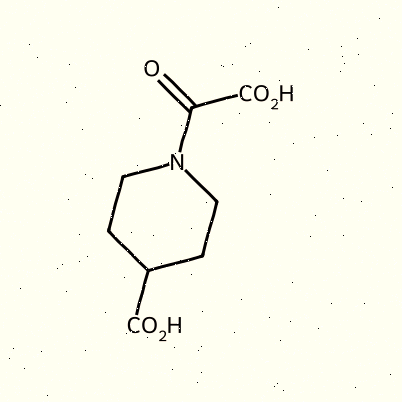 O=C(O)C(=O)N1CCC(C(=O)O)CC1